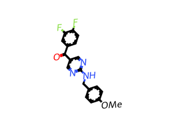 COc1ccc(CNc2ncc(C(=O)c3ccc(F)c(F)c3)cn2)cc1